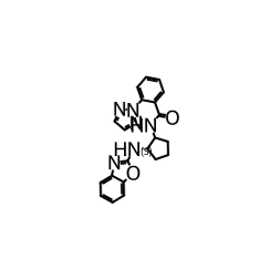 O=C(NC1CCC[C@@H]1Nc1nc2ccccc2o1)c1ccccc1-n1nccn1